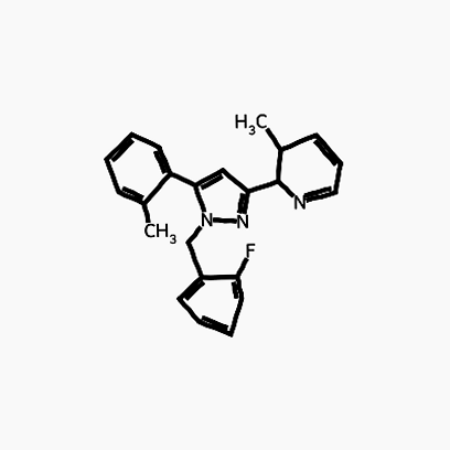 Cc1ccccc1-c1cc(C2N=CC=CC2C)nn1Cc1ccccc1F